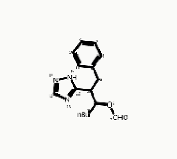 CCCCC(OC=O)C(Cc1ccccc1)c1ncn[nH]1